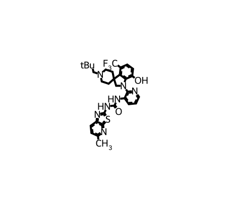 Cc1ccc2nc(NC(=O)Nc3cccnc3N3CC4(CCN(CC(C)(C)C)CC4)c4c(C(F)(F)F)ccc(O)c43)sc2n1